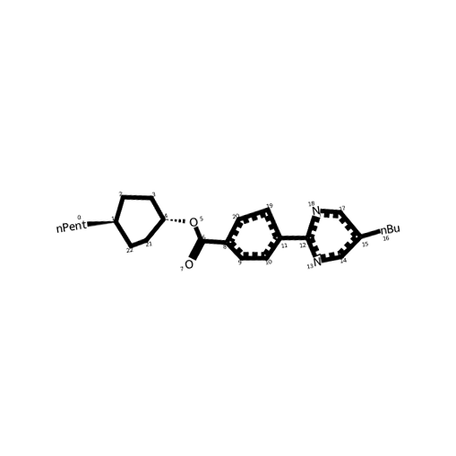 CCCCC[C@H]1CC[C@H](OC(=O)c2ccc(-c3ncc(CCCC)cn3)cc2)CC1